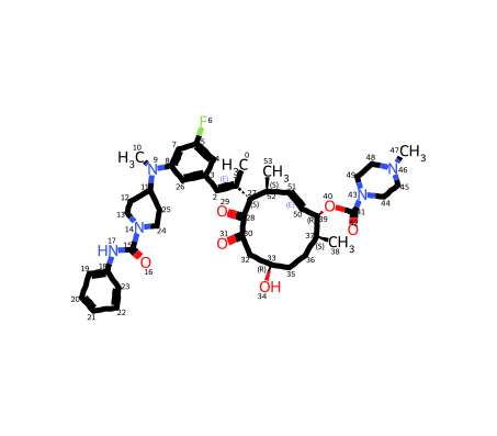 C/C(=C\c1cc(F)cc(N(C)C2CCN(C(=O)Nc3ccccc3)CC2)c1)[C@H]1C(=O)C(=O)C[C@H](O)CC[C@H](C)[C@@H](OC(=O)N2CCN(C)CC2)/C=C/[C@@H]1C